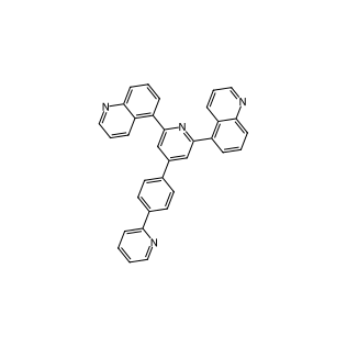 c1ccc(-c2ccc(-c3cc(-c4cccc5ncccc45)nc(-c4cccc5ncccc45)c3)cc2)nc1